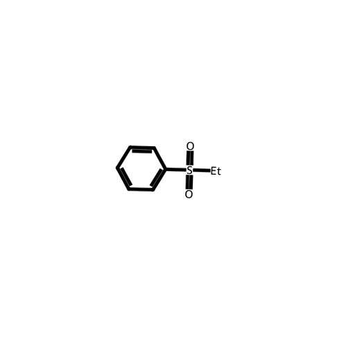 CCS(=O)(=O)c1ccccc1